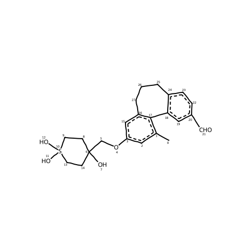 Cc1cc(OCC2(O)CCS(O)(O)CC2)cc2c1-c1cc(C=O)ccc1CCC2